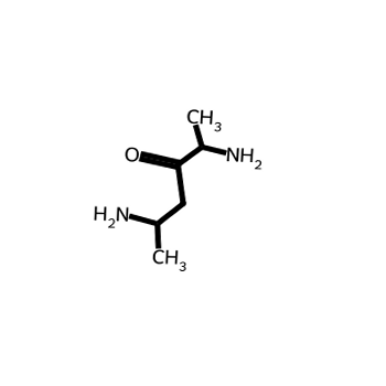 CC(N)CC(=O)C(C)N